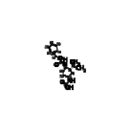 C=C(C)[C@@H]1C[C@H](NC(=O)O)CC[C@@H]1NC(=O)OCc1ccccc1